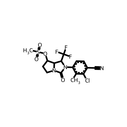 Cc1c(N2C(=O)N3CCC(OS(C)(=O)=O)C3C2C(F)(F)F)ccc(C#N)c1Cl